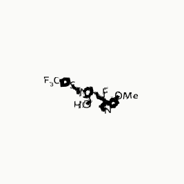 COc1ccc2nccc([C@@H](F)CC[C@@H]3CCN(CCCSc4ccc(C(F)(F)F)cc4)C[C@@H]3CO)c2c1